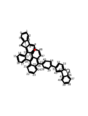 c1ccc2c(c1)Cc1c-2cccc1-c1ccccc1-c1c2ccccc2c(-c2ccc(-c3ccc4oc5ccccc5c4c3)cc2)c2ccccc12